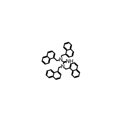 N=C(N(Cc1cccc2ccccc12)Cc1cccc2ccccc12)N(Cc1cccc2ccccc12)Cc1cccc2ccccc12